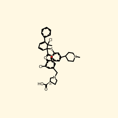 CN1CCC(c2ccnc(SC3(c4nc5cc(CN6CC[C@@H](C(=O)O)C6)cc(Cl)c5o4)C=CC=C(c4ccccc4)C3(C)Cl)c2)CC1